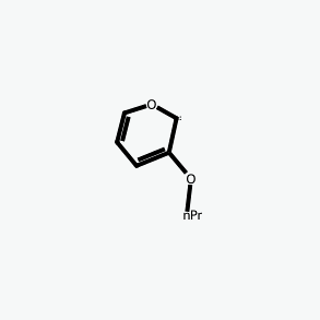 CCCOC1=CC=CO[C]1